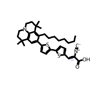 [C-]#[N+]/C(=C\c1ccc(-c2ccc(-c3cc4c5c(c3CCCCCCCC)C(C)(C)CCN5CCC4(C)C)s2)s1)C(=O)O